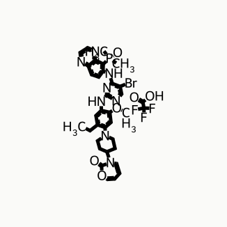 CCc1cc(Nc2ncc(Br)c(Nc3ccc4nccnc4c3P(C)(C)=O)n2)c(OC)cc1N1CCC(N2C=CC=COC2=O)CC1.O=C(O)C(F)(F)F